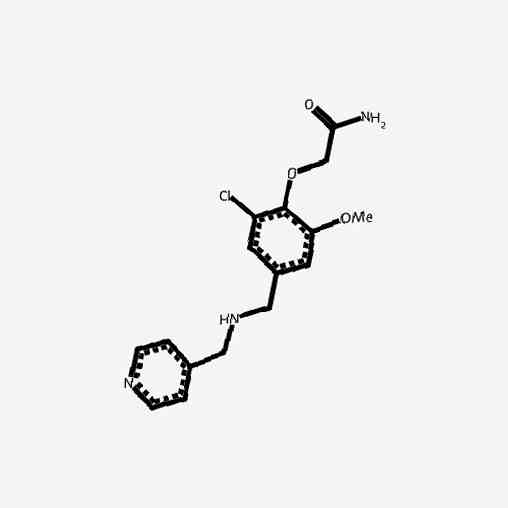 COc1cc(CNCc2ccncc2)cc(Cl)c1OCC(N)=O